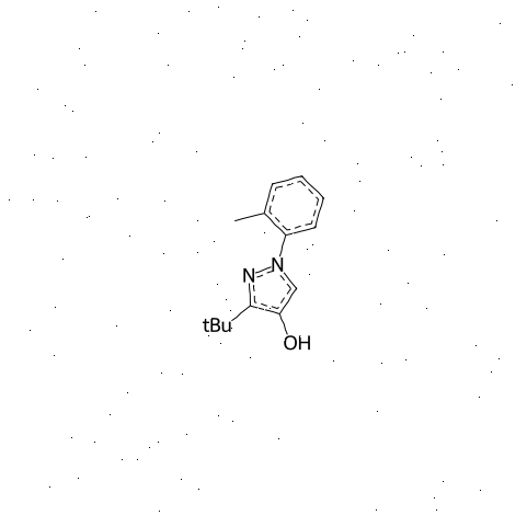 Cc1ccccc1-n1cc(O)c(C(C)(C)C)n1